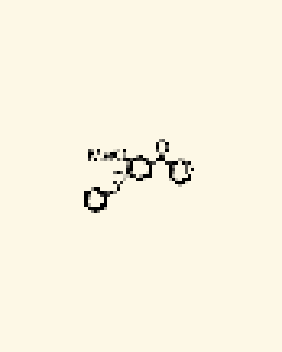 COc1cc(C(=O)c2cccnc2)ccc1OCc1ccccc1